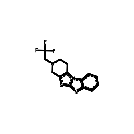 FC(F)(F)CN1CCc2c(sc3nc4ccccc4n23)C1